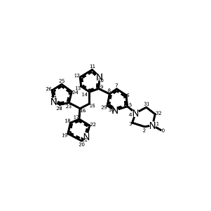 CN1CCN(c2ccc(-c3ncccc3CC(c3cccnc3)c3cccnc3)cn2)CC1